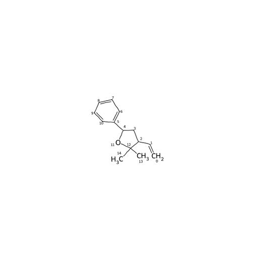 C=CC1CC(c2ccccc2)OC1(C)C